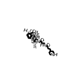 CC(C)(C)c1ccccc1S(=O)(=O)N[C@@H](CNC(=O)CCNC(=O)CCC1CCNCC1)C(=O)O